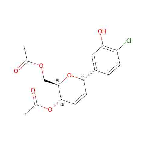 CC(=O)OC[C@H]1O[C@H](c2ccc(Cl)c(O)c2)C=C[C@@H]1OC(C)=O